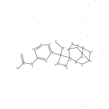 COC1(c2cccc(OC(C)=O)c2)OOC12C1CC3CC(C1)CC2C3